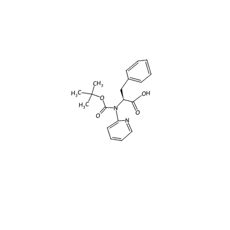 CC(C)(C)OC(=O)N(c1ccccn1)[C@@H](Cc1ccccc1)C(=O)O